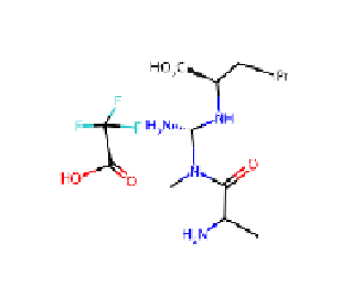 CC(C)C[C@@H](N[C@@H](N)N(C)C(=O)C(C)N)C(=O)O.O=C(O)C(F)(F)F